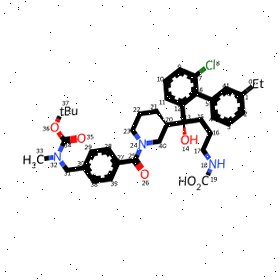 CCc1cccc(-c2c(Cl)cccc2[C@](O)(CCCNC(=O)O)[C@@H]2CCCN(C(=O)c3ccc(CN(C)C(=O)OC(C)(C)C)cc3)C2)c1